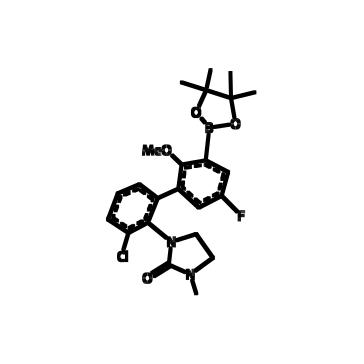 COc1c(B2OC(C)(C)C(C)(C)O2)cc(F)cc1-c1cccc(Cl)c1N1CCN(C)C1=O